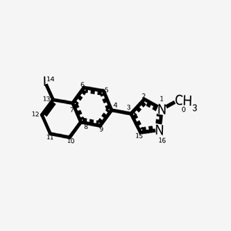 Cn1cc(-c2ccc3c(c2)CCC=C3I)cn1